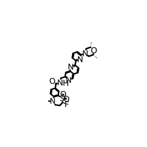 C[C@@H]1CN(c2cccc(-c3ccc4cnc(CNC(=O)c5ccc6c(c5)S(=O)(=O)[C@@H](F)CCN6C)cc4n3)n2)C[C@H](C)O1